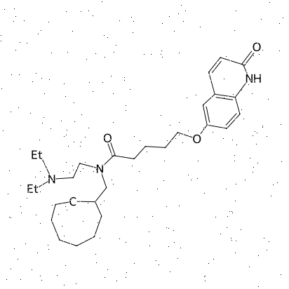 CCN(CC)CCN(CC1CCCCCCC1)C(=O)CCCCOc1ccc2[nH]c(=O)ccc2c1